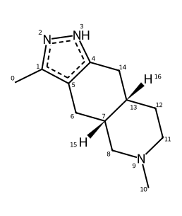 Cc1n[nH]c2c1C[C@H]1CN(C)CC[C@H]1C2